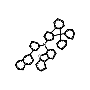 c1ccc(C2(c3ccccc3)c3ccccc3-c3ccc(N(c4cccc(-c5ccc6ccccc6c5)c4)c4cccc5c4oc4ccccc45)cc32)cc1